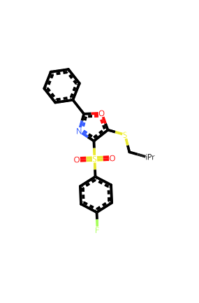 CC(C)CSc1oc(-c2ccccc2)nc1S(=O)(=O)c1ccc(F)cc1